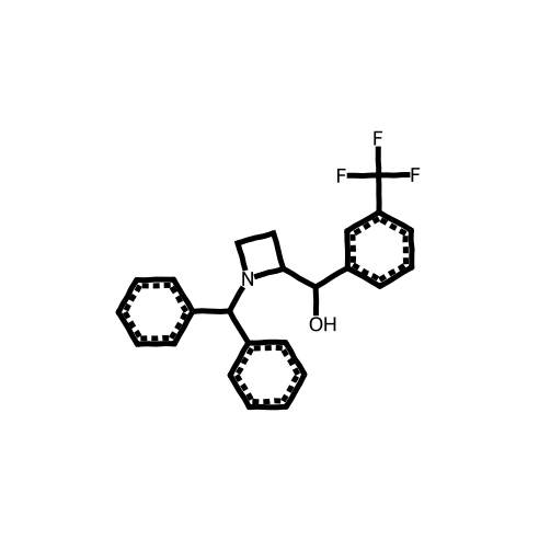 OC(c1cccc(C(F)(F)F)c1)C1CCN1C(c1ccccc1)c1ccccc1